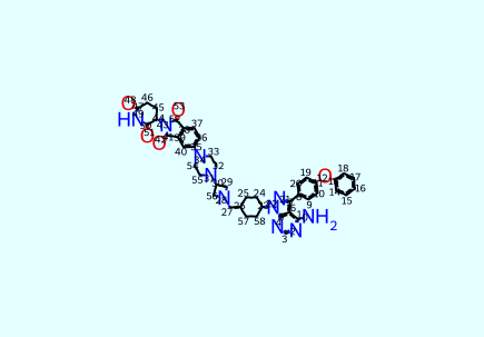 Nc1ncnc2c1c(-c1ccc(Oc3ccccc3)cc1)nn2C1CCC(CN2CC(N3CCN(c4ccc5c(c4)C(=O)N(C4CCC(=O)NC4=O)C5=O)CC3)C2)CC1